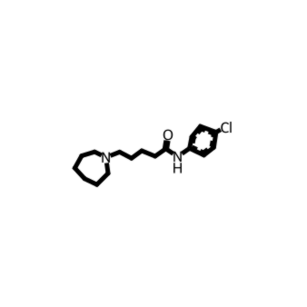 O=C(CCCCN1CCCCCC1)Nc1ccc(Cl)cc1